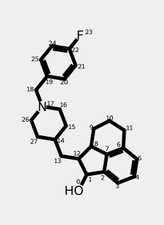 OC1c2cccc3c2C(CCC3)C1CC1CCN(Cc2ccc(F)cc2)CC1